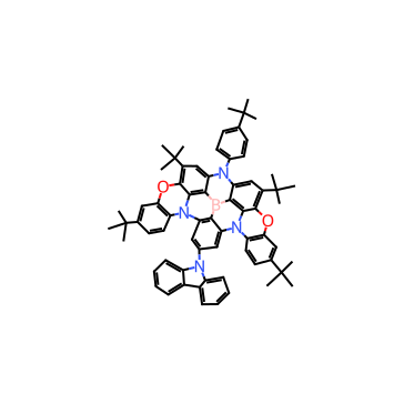 CC(C)(C)c1ccc(N2c3cc(C(C)(C)C)c4c5c3B3c6c(cc(-n7c8ccccc8c8ccccc87)cc6N6c7ccc(C(C)(C)C)cc7Oc7c(C(C)(C)C)cc2c3c76)N5c2ccc(C(C)(C)C)cc2O4)cc1